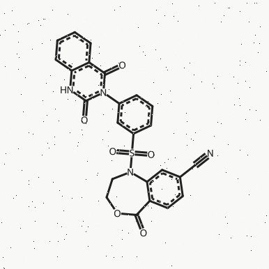 N#Cc1ccc2c(c1)N(S(=O)(=O)c1cccc(-n3c(=O)[nH]c4ccccc4c3=O)c1)CCOC2=O